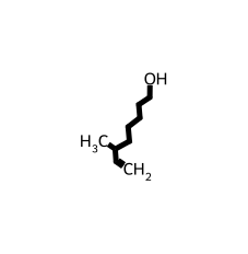 C=CC(C)CCCCCO